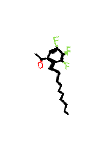 CCCCCCCCCCc1c(C(C)=O)cc(F)c(F)c1F